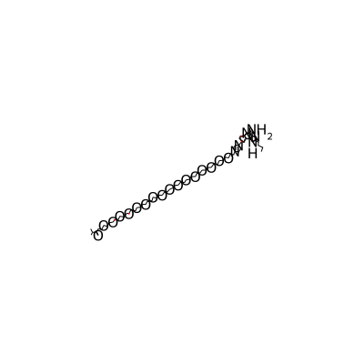 CCCCc1nc2c(N)nc3ccc(N4CCN(CCOCCOCCOCCOCCOCCOCCOCCOCCOCCOCCOCCOCCOCCOCCOCCOCCC(=O)C(C)C)CC4)cc3c2[nH]1